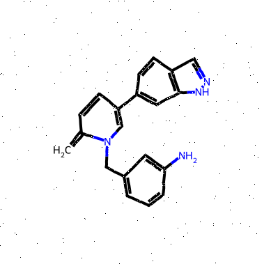 C=C1C=CC(c2ccc3cn[nH]c3c2)=CN1Cc1cccc(N)c1